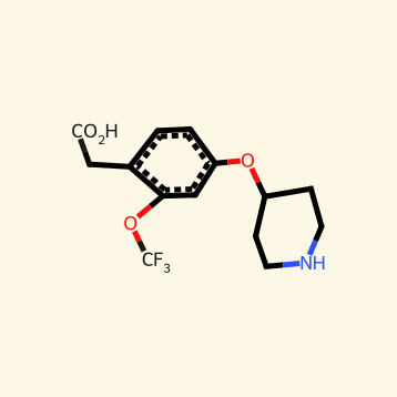 O=C(O)Cc1ccc(OC2CCNCC2)cc1OC(F)(F)F